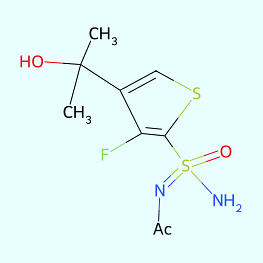 CC(=O)N=S(N)(=O)c1scc(C(C)(C)O)c1F